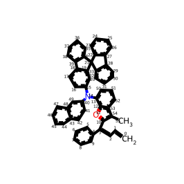 C=C/C=C(/c1ccccc1)c1oc2c(N(c3ccc4c(c3)C3(c5ccccc5-c5ccccc53)c3ccccc3-4)c3ccc4ccccc4c3)cccc2c1C